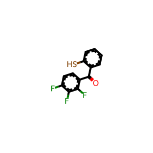 O=C(c1ccccc1S)c1ccc(F)c(F)c1F